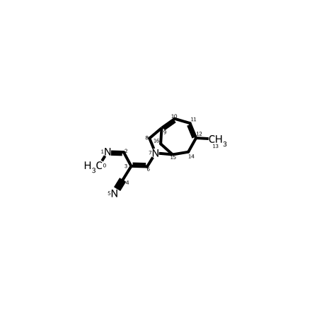 C/N=C\C(C#N)=C/N1CC2=CC=C(C)CC1C2